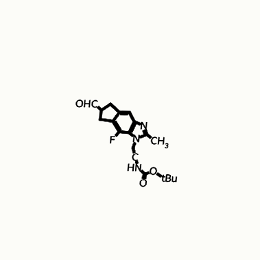 Cc1nc2cc3c(c(F)c2n1CCNC(=O)OC(C)(C)C)CC(C=O)C3